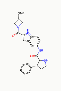 COC1CN(C(=O)c2cc3cc(NC(=O)C4NCC[C@@H]4c4ccccc4)ccc3[nH]2)C1